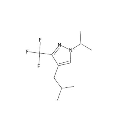 CC(C)Cc1cn(C(C)C)nc1C(F)(F)F